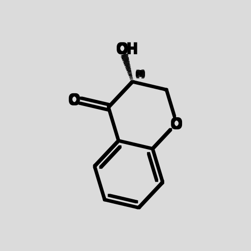 O=C1c2ccccc2OC[C@H]1O